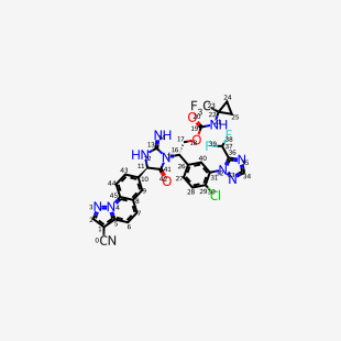 N#Cc1cnn2c1ccc1cc([C@H]3NC(=N)N([C@H](COC(=O)NC4(C(F)(F)F)CC4)c4ccc(Cl)c(-n5ncnc5C(F)F)c4)C3=O)ccc12